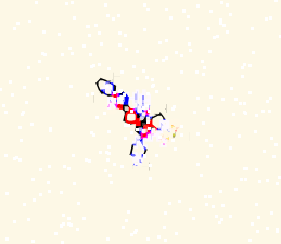 C[C@H](NC(=O)c1ccc(N2[C@@H]3CC[C@H]2C[C@@H](NC(=O)c2ccc(C(N)=O)c(NC4CCN(S(C)(=O)=O)CC4)c2)C3)nc1)c1ccc(N2CCN(C)CC2)cc1